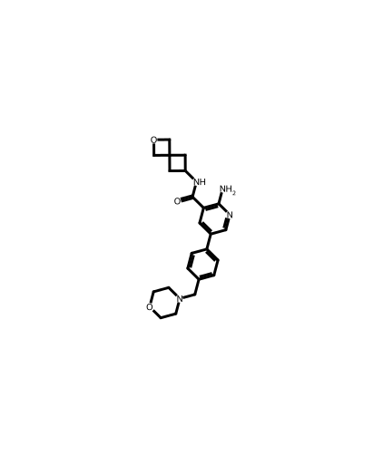 Nc1ncc(-c2ccc(CN3CCOCC3)cc2)cc1C(=O)NC1CC2(COC2)C1